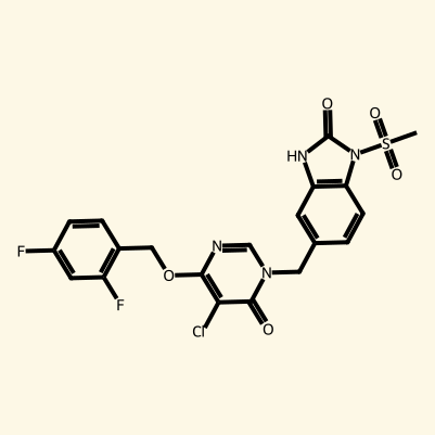 CS(=O)(=O)n1c(=O)[nH]c2cc(Cn3cnc(OCc4ccc(F)cc4F)c(Cl)c3=O)ccc21